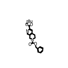 CC(C)(C)OC(=O)c1cc2c(cn1)CN(C(=O)OCc1ccccc1)CC2